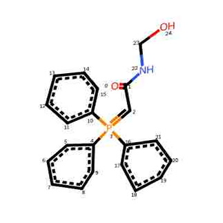 O=C(C=P(c1ccccc1)(c1ccccc1)c1ccccc1)NCO